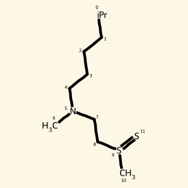 CC(C)CCCCN(C)CCS(C)=S